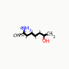 C=C(O)CCCC[C@H](N)N=O